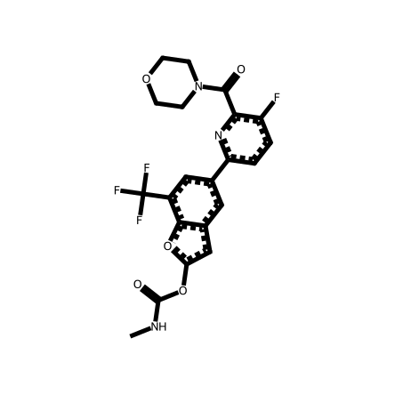 CNC(=O)Oc1cc2cc(-c3ccc(F)c(C(=O)N4CCOCC4)n3)cc(C(F)(F)F)c2o1